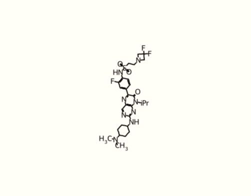 CC(C)n1c(=O)c(-c2ccc(NS(=O)(=O)CCN3CC(F)(F)C3)c(F)c2)nc2cnc(NC3CCC(N(C)C)CC3)nc21